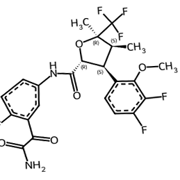 COc1c([C@H]2[C@H](C(=O)Nc3ccc(F)c(C(=O)C(N)=O)c3)O[C@@](C)(C(F)(F)F)[C@H]2C)ccc(F)c1F